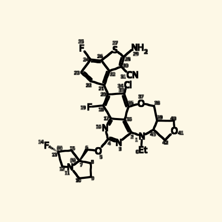 CCN1c2nc(OC[C@@]34CCCN3C[C@H](F)C4)nc3c(F)c(-c4ccc(F)c5sc(N)c(C#N)c45)c(Cl)c(c23)OCC2COCC21